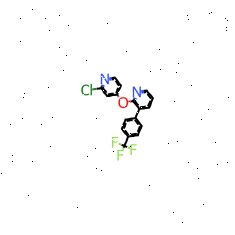 FC(F)(F)c1ccc(-c2cccnc2Oc2ccnc(Cl)c2)cc1